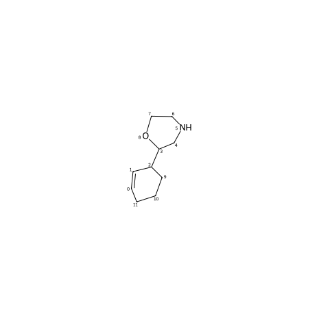 C1=CC(C2CNCCO2)CCC1